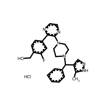 Cc1[nH]ncc1C(c1ccccc1)N1CCN(c2nccnc2-c2ccc(CO)c(F)c2)CC1.Cl